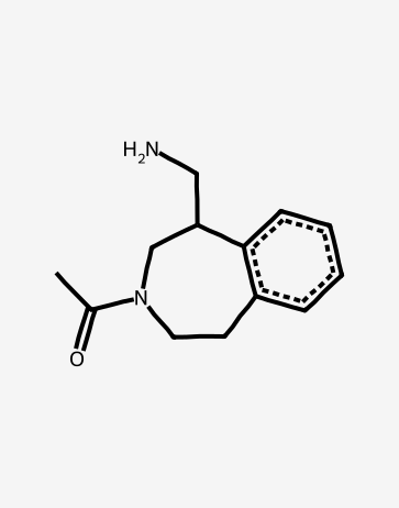 CC(=O)N1CCc2ccccc2C(CN)C1